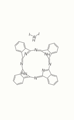 [I][AlH][I].c1ccc2c(c1)-c1nc-2nc2[nH]c(nc3nc(nc4[nH]c(n1)c1ccccc41)-c1ccccc1-3)c1ccccc21